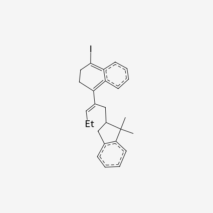 CC/C=C(\CC1Cc2ccccc2C1(C)C)C1=c2ccccc2=C(I)CC1